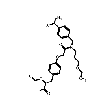 CCOCCCN(Cc1ccc(C(C)C)cc1)C(=O)COc1ccc(C[C@H](OCC)C(=O)O)cc1